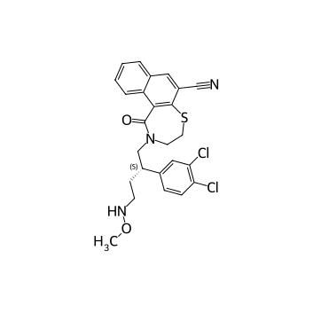 CONCC[C@H](CN1CCSc2c(C#N)cc3ccccc3c2C1=O)c1ccc(Cl)c(Cl)c1